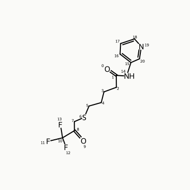 O=C(CCCCSCC(=O)C(F)(F)F)Nc1cccnc1